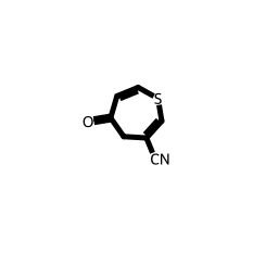 N#CC1=CSC=CC(=O)C1